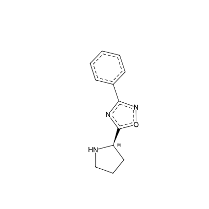 c1ccc(-c2noc([C@H]3CCCN3)n2)cc1